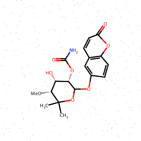 CO[C@@H]1[C@H](O)[C@H](OC(N)=O)C(Oc2ccc3oc(=O)ccc3c2)OC1(C)C